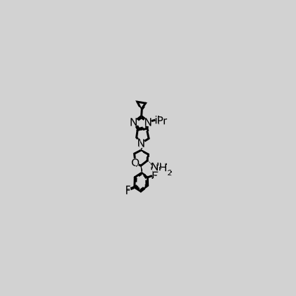 CC(C)n1c(C2CC2)nc2c1CN([C@H]1CO[C@H](c3cc(F)ccc3F)[C@@H](N)C1)C2